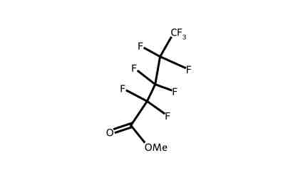 COC(=O)C(F)(F)C(F)(F)C(F)(F)C(F)(F)F